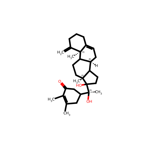 C=C1CCCC2=CC[C@@H]3C(CC[C@@]4(C)C3CCC4(O)[C@@](C)(O)C3CC(=O)C(C)=C(C)C3)[C@@]12C